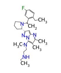 C=C(c1cc(F)ccc1CC)N1CCCC[C@H]1c1cc2nc(C)c(C)c(N(C)CCNCC)n2n1